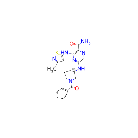 Cc1cc(Nc2nc(N[C@@H]3CCCN(C(=O)c4ccccc4)C3)cnc2C(N)=O)sn1